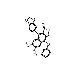 COc1cc2c(Oc3ncccn3)c3c(c(-c4ccc5c(c4)OCO5)c2cc1OC)C(=O)OC3